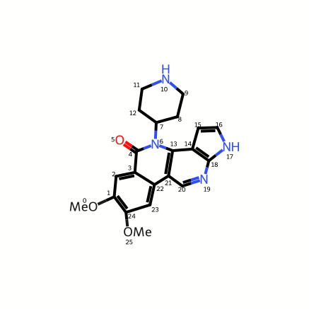 COc1cc2c(=O)n(C3CCNCC3)c3c4cc[nH]c4ncc3c2cc1OC